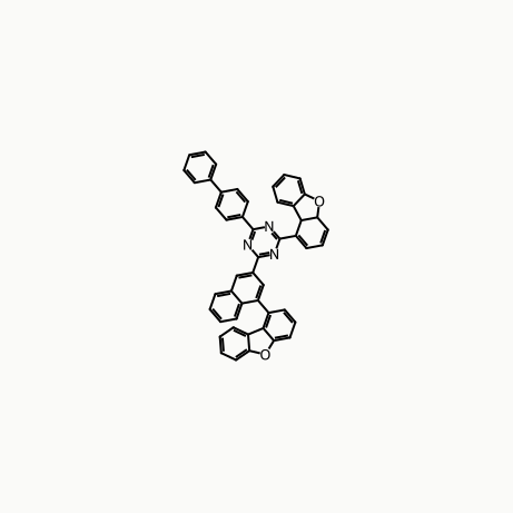 C1=CC2Oc3ccccc3C2C(c2nc(-c3ccc(-c4ccccc4)cc3)nc(-c3cc(-c4cccc5oc6ccccc6c45)c4ccccc4c3)n2)=C1